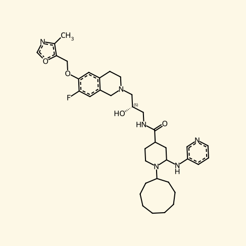 Cc1ncoc1COc1cc2c(cc1F)CN(C[C@@H](O)CNC(=O)C1CCN(C3CCCCCCCC3)C(Nc3cccnc3)C1)CC2